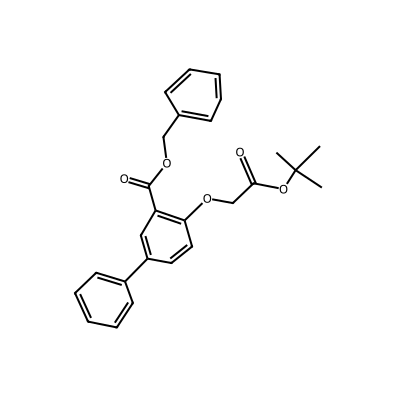 CC(C)(C)OC(=O)COc1ccc(-c2ccccc2)cc1C(=O)OCc1ccccc1